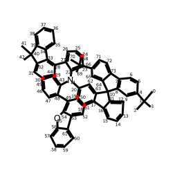 CC(C)(C)c1ccc2c(c1)C1(c3ccccc3-c3ccc(N(c4ccccc4-c4cccc5c4-c4ccccc4C5(C)C)c4ccccc4-c4cccc5c4oc4ccccc45)cc31)c1cc(C(C)(C)C)ccc1-2